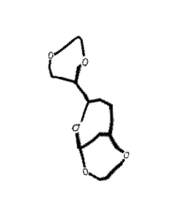 C1OCC(C2CC3OCOC3O2)O1